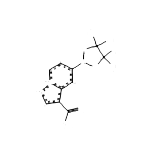 CC1(C)OB(c2ccn3ncc(C(N)=O)c3c2)OC1(C)C